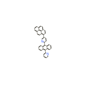 c1ccc(-c2c3ccccc3c(-c3ccc(-c4ccc5ccc6cccc7ccc4c5c67)cn3)c3ccccc23)nc1